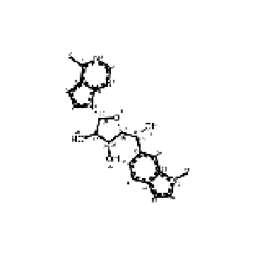 Cc1ncnc2c1ccn2[C@@H]1O[C@H]([C@H](O)c2ccc3ccn(C)c3c2)[C@@H](O)C1O